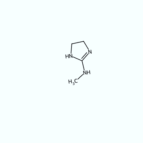 CNC1=NCCN1